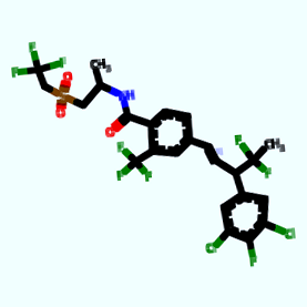 CC(CS(=O)(=O)CC(F)(F)F)NC(=O)c1ccc(/C=C/C(c2cc(Cl)c(F)c(Cl)c2)C(C)(F)F)cc1C(F)(F)F